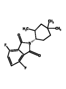 CC1CC(C)(C)CC[C@@H]1N1C(=O)c2c(F)ccc(F)c2C1=O